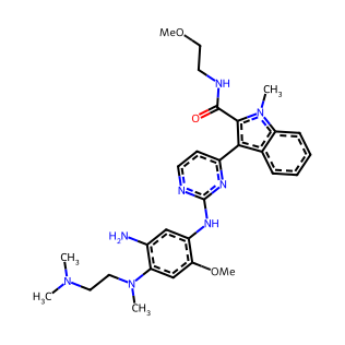 COCCNC(=O)c1c(-c2ccnc(Nc3cc(N)c(N(C)CCN(C)C)cc3OC)n2)c2ccccc2n1C